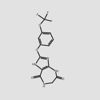 O=C1CNC(=O)c2[nH]c(Oc3cccc(OC(F)(F)F)c3)nc2N1